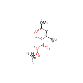 COC(=O)CC(C(C)C(=O)OO[SiH](C)C)C(C)(C)C